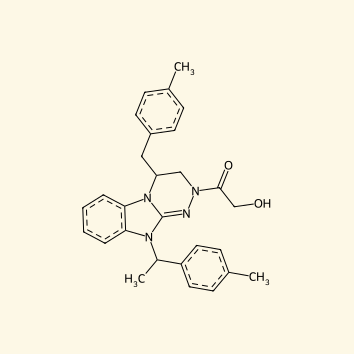 Cc1ccc(CC2CN(C(=O)CO)N=C3N2c2ccccc2N3C(C)c2ccc(C)cc2)cc1